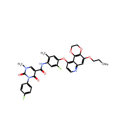 COCCOc1cc2nccc(Oc3cc(C)c(NC(=O)c4cn(C)c(=O)n(-c5ccc(F)cc5)c4=O)cc3F)c2c2c1OCCO2